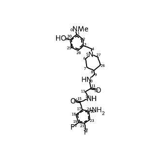 CNc1cc(CN2CCC(CNC(=O)CNC(=O)c3cc(F)c(F)cc3N)CC2)ccc1O